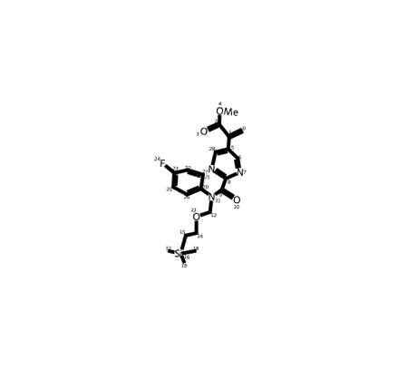 C=C(C(=O)OC)c1cnc(C(=O)N(COCC[Si](C)(C)C)c2ccc(F)cc2)nc1